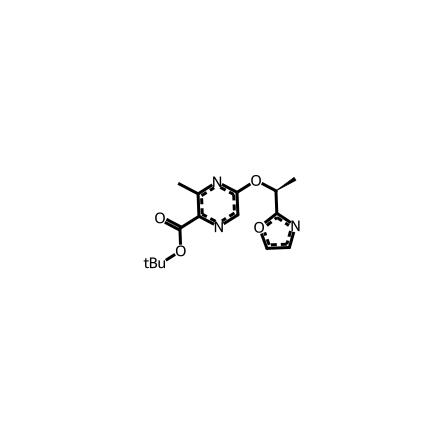 Cc1nc(O[C@@H](C)c2ncco2)cnc1C(=O)OC(C)(C)C